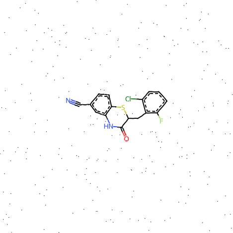 N#Cc1ccc2c(c1)NC(=O)C(Cc1c(F)cccc1Cl)S2